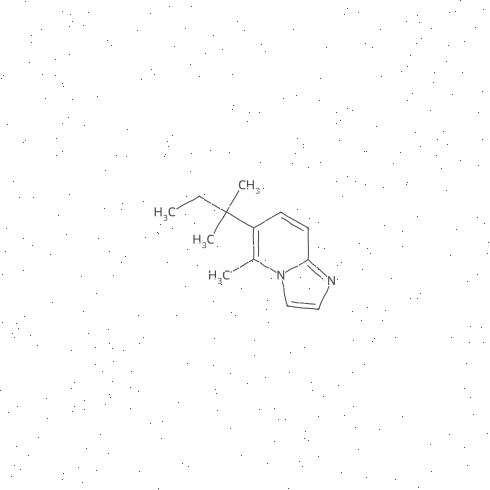 CCC(C)(C)c1ccc2nccn2c1C